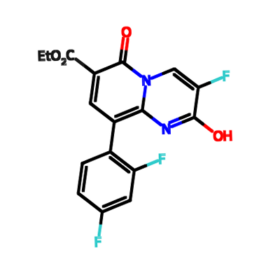 CCOC(=O)c1cc(-c2ccc(F)cc2F)c2nc(O)c(F)cn2c1=O